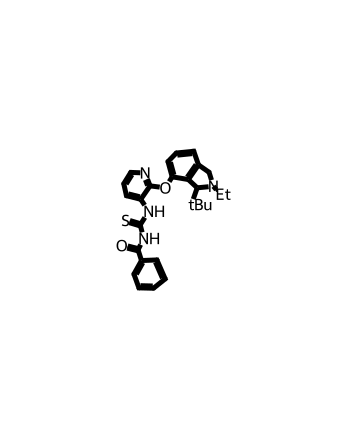 CCN1Cc2cccc(Oc3ncccc3NC(=S)NC(=O)c3ccccc3)c2C1C(C)(C)C